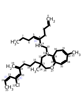 C=CCC/C(=C/CCC)NCN1CC(C)(CCCC(=C)/C=C(Cl)\C=C/C)COC2=C1CC=C(C)C=C2